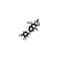 CC(=O)Oc1c(O)c2ccc(Oc3ccc(Cl)c(Cl)c3)cc2n(C)c1=O